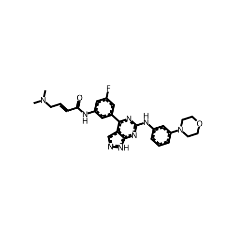 CN(C)C/C=C/C(=O)Nc1cc(F)cc(-c2nc(Nc3cccc(N4CCOCC4)c3)nc3[nH]ncc23)c1